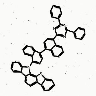 c1ccc(-c2nc(-c3ccccc3)nc(-c3ccc(-c4ccc(-n5c6ccccc6c6ccc7c8ccccc8sc7c65)c5ccccc45)c4ccccc34)n2)cc1